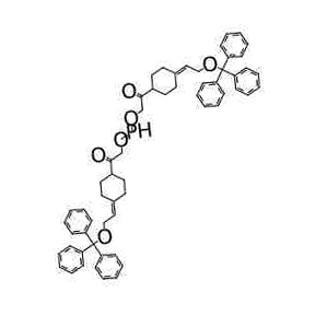 O=C(COPOCC(=O)C1CCC(=CCOC(c2ccccc2)(c2ccccc2)c2ccccc2)CC1)C1CCC(=CCOC(c2ccccc2)(c2ccccc2)c2ccccc2)CC1